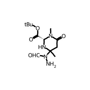 CN1C(=O)CC(C)(N(N)C=O)N[C@@H]1C(=O)OC(C)(C)C